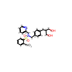 O=[N+]([O-])c1ccccc1S(=O)(=O)N(Cc1ccc(CC(CO)CO)cc1)Cc1ccccn1